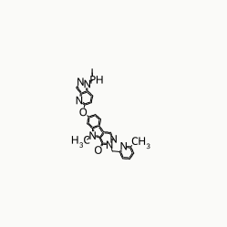 Cc1cccc(Cn2ncc3c4ccc(Oc5ccc6c(cnn6PI)n5)cc4n(C)c3c2=O)n1